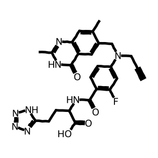 C#CCN(Cc1cc2c(=O)[nH]c(C)nc2cc1C)c1ccc(C(=O)NC(CCc2nnn[nH]2)C(=O)O)c(F)c1